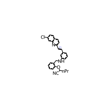 CCCC(C#N)Oc1ccccc1CNc1cccc(/C=C/c2ccc3ccc(Cl)cc3n2)c1